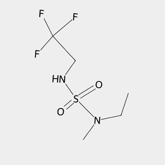 CCN(C)S(=O)(=O)NCC(F)(F)F